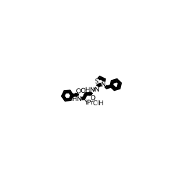 CC(C)[C@H](NC(=O)C1CCCCC1)C(=O)C(=O)N/N=C1\SCCN1Cc1ccccc1.Cl